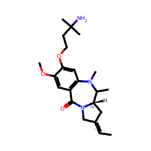 C/C=C1\C[C@H]2C(C)N(C)c3cc(OCCC(C)(C)N)c(OC)cc3C(=O)N2C1